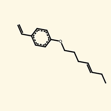 C=Cc1ccc(OCCCC=CCC)cc1